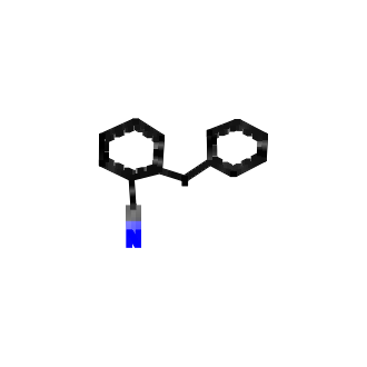 N#Cc1ccccc1[CH]c1ccccc1